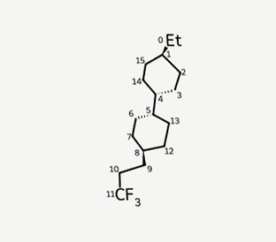 CC[C@H]1CC[C@H]([C@H]2CC[C@H](CCC(F)(F)F)CC2)CC1